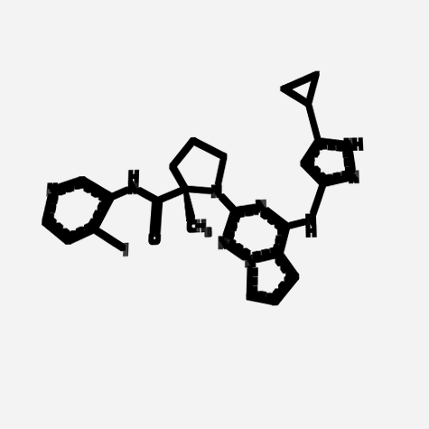 C[C@@]1(C(=O)Nc2cnccc2I)CCCN1c1nc(Nc2cc(C3CC3)[nH]n2)c2cccn2n1